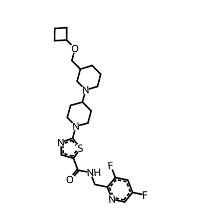 O=C(NCc1ncc(F)cc1F)c1cnc(N2CCC(N3CCCC(COC4CCC4)C3)CC2)s1